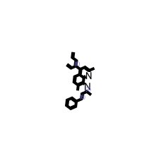 C=C/C=C(\C=C)c1cc(C)nc2c(/N=C(C)\C=C\c3ccccc3)c(C)ccc12